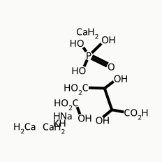 O=C(O)C(O)C(O)C(=O)O.O=C(O)O.O=P(O)(O)O.[CaH2].[CaH2].[CaH2].[KH].[NaH]